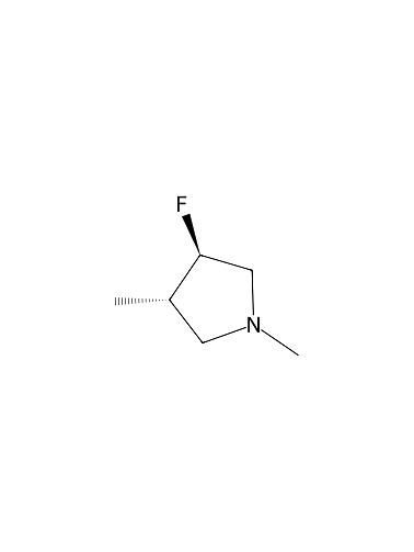 C[C@H]1CN(C)C[C@@H]1F